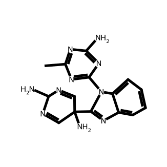 Cc1nc(N)nc(-n2c(C3(N)C=NC(N)N=C3)nc3ccccc32)n1